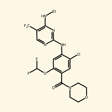 CCNc1nc(Nc2cc(OC(F)F)c(C(=O)N3CCOCC3)cc2Cl)ncc1C(F)(F)F